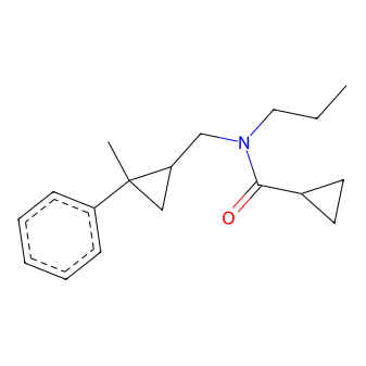 CCCN(CC1CC1(C)c1ccccc1)C(=O)C1CC1